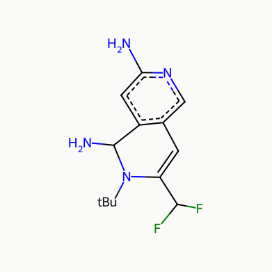 CC(C)(C)N1C(C(F)F)=Cc2cnc(N)cc2C1N